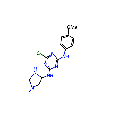 COc1ccc(Nc2nc(Cl)nc(NC3CN(C)CN3)n2)cc1